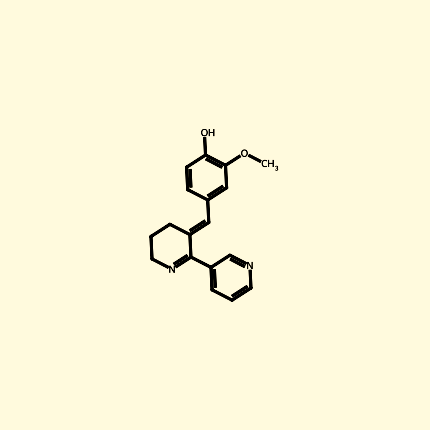 COc1cc(/C=C2\CCCN=C2c2cccnc2)ccc1O